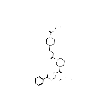 CCOC(=O)C[C@H](NC(=O)c1ccccc1)NC(=O)[C@@H]1CCCN(C(=O)CCC2CCN(C(=O)OC(C)(C)C)CC2)C1